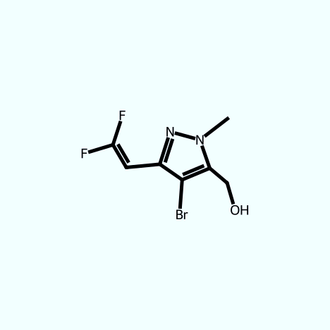 Cn1nc(C=C(F)F)c(Br)c1CO